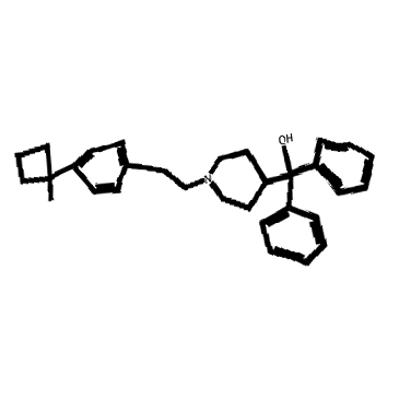 CC1(c2ccc(CCN3CCC(C(O)(c4ccccc4)c4ccccc4)CC3)cc2)CCC1